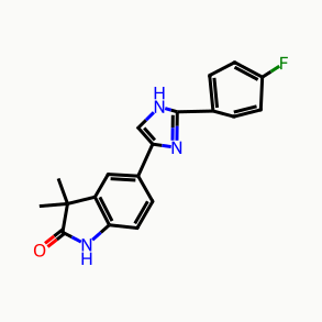 CC1(C)C(=O)Nc2ccc(-c3c[nH]c(-c4ccc(F)cc4)n3)cc21